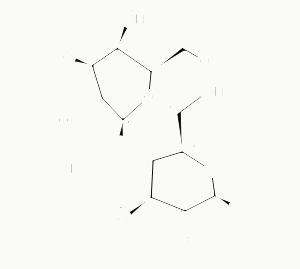 OC[C@H]1O[C@@H](O[C@H]2[C@H](O)[C@@H](O)[C@H](O)O[C@@H]2CO)[C@H](O)[C@@H](O)[C@H]1O.[Fe]